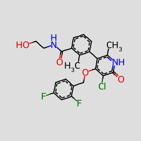 Cc1[nH]c(=O)c(Cl)c(OCc2ccc(F)cc2F)c1-c1cccc(C(=O)NCCO)c1C